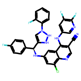 N#Cc1cnc2c(Cl)cc(N[C@H](C3=CN(c4ccccc4F)NN3)c3ccc(F)cc3)cc2c1Nc1cnc(F)c(F)c1